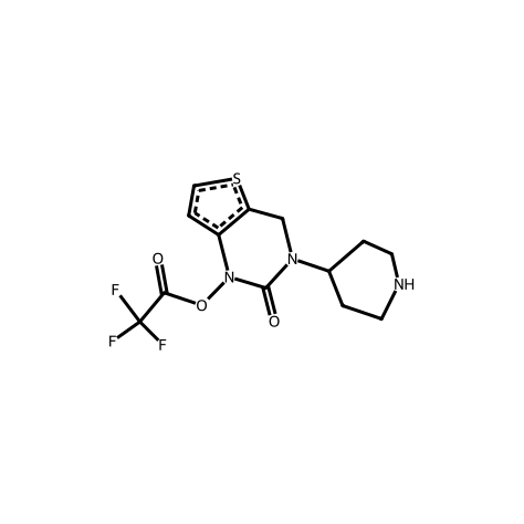 O=C1N(OC(=O)C(F)(F)F)c2ccsc2CN1C1CCNCC1